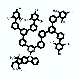 C=CC1=C(/C=C\C)C(C)(C)c2cc3c(cc21)c1ccccc1n3-c1nc(-c2cccc(-c3cccc(-c4cc(-c5cccc(-c6c(C)cc(C(C)(C)C)cc6C)c5)cc(-c5cccc(-c6c(C)cc(C(C)(C)C)cc6C)c5)c4)c3)c2)cc(-c2cccc(-c3cc(-c4cccc(-c5c(C)cc(C(C)(C)C)cc5C)c4)cc(-c4cccc(-c5c(C)cc(C(C)(C)C)cc5C)c4)c3)c2)n1